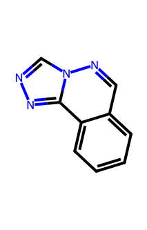 c1ccc2c(c1)cnn1cnnc21